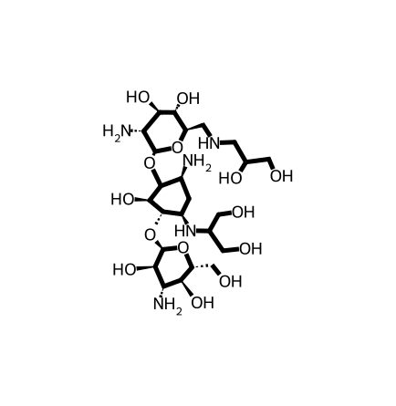 N[C@@H]1[C@@H](O)[C@@H](O[C@H]2[C@H](NC(CO)CO)C[C@H](N)C(O[C@H]3O[C@H](CNCC(O)CO)[C@@H](O)[C@H](O)[C@H]3N)[C@@H]2O)O[C@H](CO)[C@H]1O